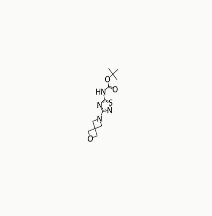 CC(C)(C)OC(=O)Nc1nc(N2CC3(COC3)C2)ns1